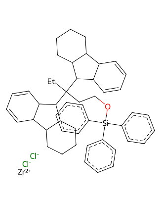 CCC(CCO[Si](c1ccccc1)(c1ccccc1)c1ccccc1)(C1C2C=CC=CC2C2CCCCC21)C1C2C=CC=CC2C2CCCCC21.[Cl-].[Cl-].[Zr+2]